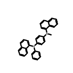 CN(c1ccc(N(c2ccccc2)c2cccc3ccccc23)cc1)c1cccc2ccccc12